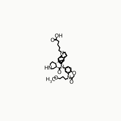 COCCCN1C(=O)COc2ccc(N(C(=O)[C@H]3CNCC[C@@H]3c3ccc4ccn(CCCCC(=O)O)c4c3)C3CC3)cc21